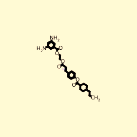 C=CCC1CCC(C(=O)Oc2ccc(/C=C/C(=O)OCCOC(=O)c3cc(N)cc(N)c3)cc2)CC1